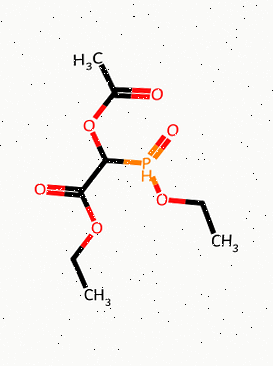 CCOC(=O)C(OC(C)=O)[PH](=O)OCC